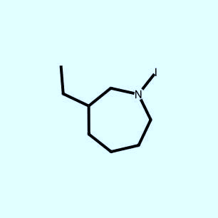 CCC1CCCCN(I)C1